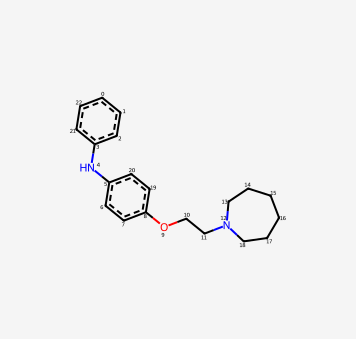 c1ccc(Nc2ccc(OCCN3CCCCCC3)cc2)cc1